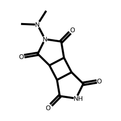 CN(C)N1C(=O)C2C3C(=O)NC(=O)C3C2C1=O